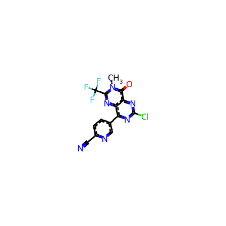 Cn1c(C(F)(F)F)nc2c(-c3ccc(C#N)nc3)nc(Cl)nc2c1=O